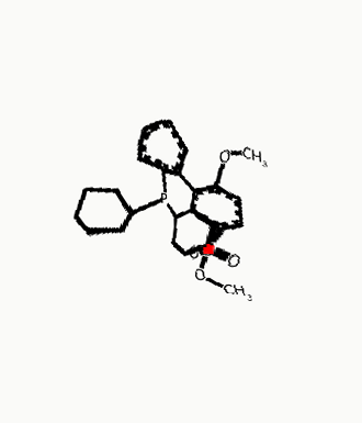 COc1ccc(S(=O)(=O)OC)cc1-c1ccccc1P(C1CCCCC1)C1CCCCC1